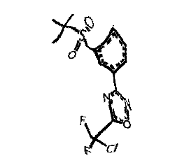 CC(C)(C)S(=O)(=O)c1[c]ccc(-c2noc(C(F)(F)Cl)n2)c1